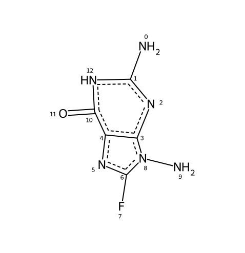 Nc1nc2c(nc(F)n2N)c(=O)[nH]1